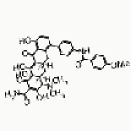 COc1ccc(C(=O)Nc2ccc(-c3ccc(O)c4c3C[C@H]3C[C@H]5C(N(C)C)C(O)=C(C(N)=O)C(=O)[C@@]5(O)C(O)=C3C4=O)cc2)cc1